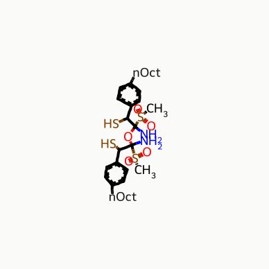 CCCCCCCCc1ccc(C(S)C(N)(OC(N)(C(S)c2ccc(CCCCCCCC)cc2)S(C)(=O)=O)S(C)(=O)=O)cc1